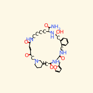 NC(=O)[C@@H]1CCCCNC(=O)/C=C/C(=O)CN2CCC[C@H](CC(=O)N[C@@H](Cc3ccco3)C(=O)NCc3ccccc3CC(O)N1)C2